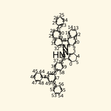 C1=C2C(=CCC1)N(n1c3ccc4ccccc4c3c3c4cc(-c5ccccc5)ccc4ccc31)NC2c1ccc(-c2cc(-c3ccccc3)cc(-c3ccccc3)c2)cc1